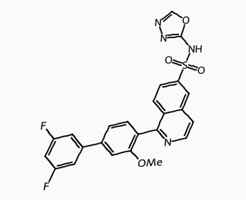 COc1cc(-c2cc(F)cc(F)c2)ccc1-c1nccc2cc(S(=O)(=O)Nc3nnco3)ccc12